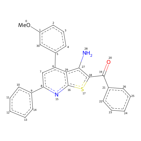 COc1cccc(-c2cc(-c3ccccc3)nc3sc(C(=O)c4ccccc4)c(N)c23)c1